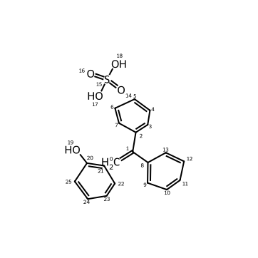 C=C(c1ccccc1)c1ccccc1.O=S(=O)(O)O.Oc1ccccc1